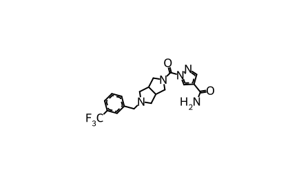 NC(=O)c1cnn(C(=O)N2CC3CN(Cc4cccc(C(F)(F)F)c4)CC3C2)c1